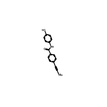 CCCCC#Cc1ccc(C(=O)Nc2ccc(O)cc2)cc1